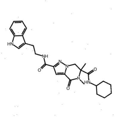 CN1C(=O)c2cc(C(=O)NCCc3c[nH]c4ccccc34)nn2CC1(C)C(=O)NC1CCCCC1